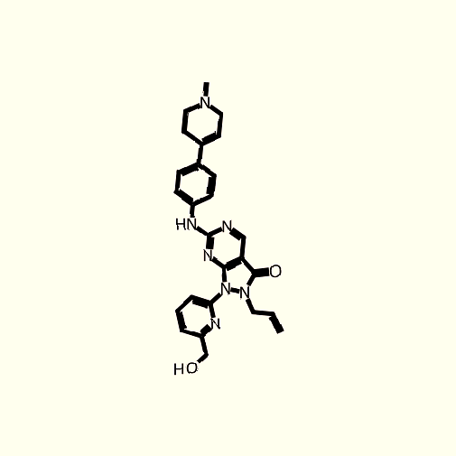 C=CCn1c(=O)c2cnc(Nc3ccc(C4=CCN(C)CC4)cc3)nc2n1-c1cccc(CO)n1